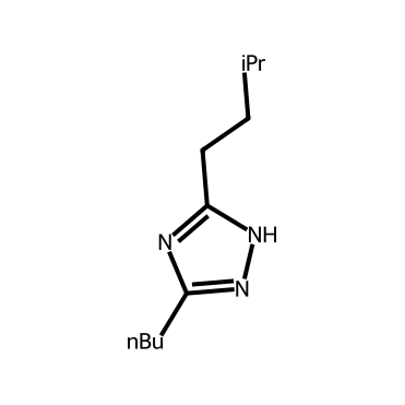 CCCCc1n[nH]c(CCC(C)C)n1